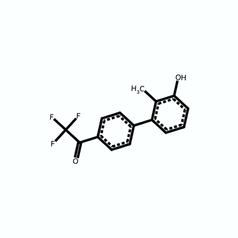 Cc1c(O)cccc1-c1ccc(C(=O)C(F)(F)F)cc1